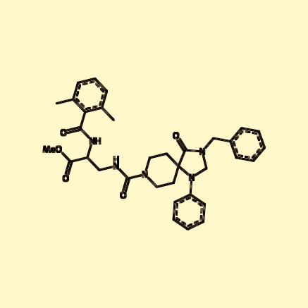 COC(=O)C(CNC(=O)N1CCC2(CC1)C(=O)N(Cc1ccccc1)CN2c1ccccc1)NC(=O)c1c(C)cccc1C